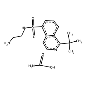 CC(C)(C)c1nccc2c(S(=O)(=O)NCCN)cccc12.NC(=O)O